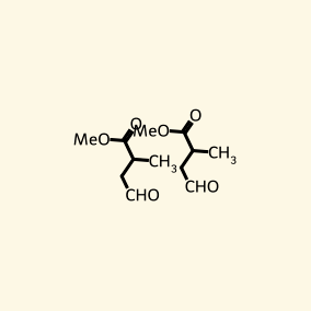 COC(=O)C(C)CC=O.COC(=O)C(C)CC=O